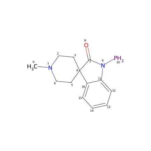 CN1CCC2(CC1)C(=O)N(P)c1ccccc12